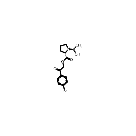 CB(O)N1CCC[C@H]1C(=O)OCC(=O)c1ccc(Br)cc1